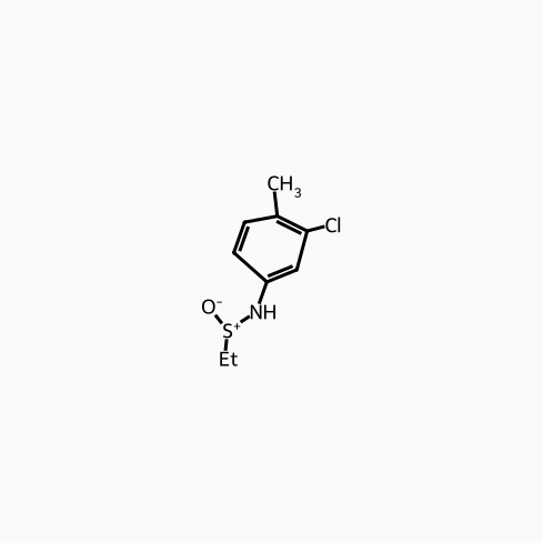 CC[S+]([O-])Nc1ccc(C)c(Cl)c1